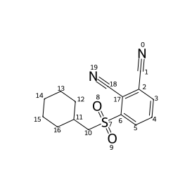 N#Cc1cccc(S(=O)(=O)CC2CCCCC2)c1C#N